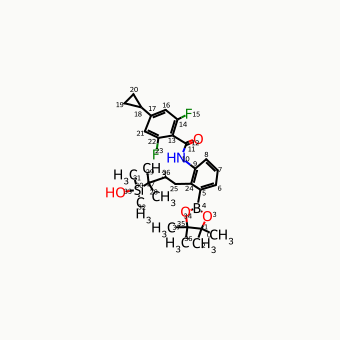 CC1(C)OB(c2cccc(NC(=O)c3c(F)cc(C4CC4)cc3F)c2CCC(C)(C)[Si](C)(C)O)OC1(C)C